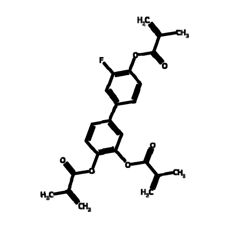 C=C(C)C(=O)Oc1ccc(-c2ccc(OC(=O)C(=C)C)c(OC(=O)C(=C)C)c2)cc1F